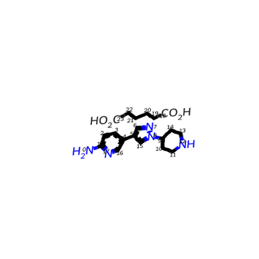 Nc1ccc(-c2cnn(C3CCNCC3)c2)cn1.O=C(O)CCCCC(=O)O